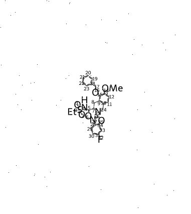 CCS(=O)(=O)NC(=O)C1Cc2c(ccc(OC)c2OCc2ccccc2)CN1c1nc2ccc(F)cc2o1